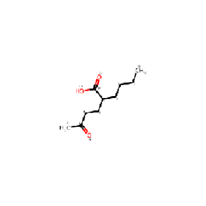 CCCCC(CCC(C)=O)C(=O)O